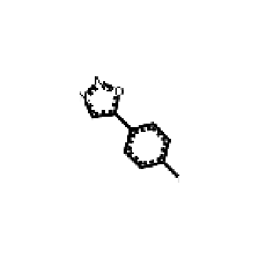 Ic1ccc(-c2cnno2)cc1